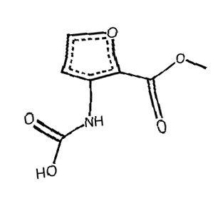 COC(=O)c1occc1NC(=O)O